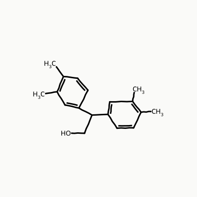 Cc1ccc(C(CO)c2ccc(C)c(C)c2)cc1C